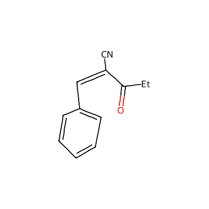 CCC(=O)C(C#N)=Cc1ccccc1